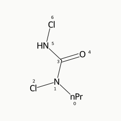 CCCN(Cl)C(=O)NCl